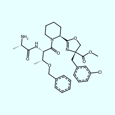 COC(=O)[C@@]1(Cc2cccc(Cl)c2)COC([C@@H]2CCCCN2C(=O)[C@@H](NC(=O)[C@H](C)N)[C@@H](C)OCc2ccccc2)=N1